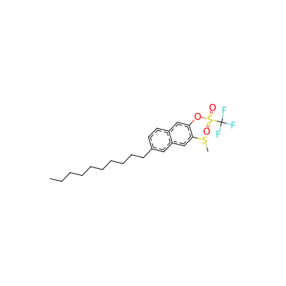 CCCCCCCCCCc1ccc2cc(OS(=O)(=O)C(F)(F)F)c(SC)cc2c1